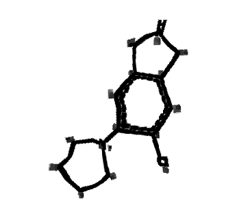 Clc1cc2c(cc1N1CCCC1)CNC2